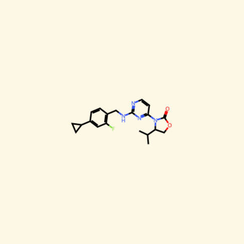 CC(C)C1COC(=O)N1c1ccnc(NCc2ccc(C3CC3)cc2F)n1